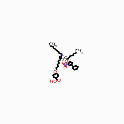 CCCCCCCC/C=C\CCCCCCCCOc1ccc(C(=O)O)cc1.CCCCCC[C@H](C)Oc1ccc(-c2ccccc2)cc1[N+](=O)[O-]